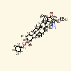 CC(C)C1=C2[C@H]3CC[C@@H]4[C@@]5(C)CC=C(C6=CC[C@](CF)(C(=O)OCc7ccccc7)CC6)C(C)(C)[C@@H]5CC[C@@]4(C)[C@]3(C)CC[C@@]2(NC(=O)OC(C)(C)C)CC1=O